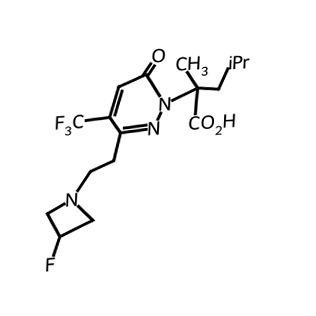 CC(C)CC(C)(C(=O)O)n1nc(CCN2CC(F)C2)c(C(F)(F)F)cc1=O